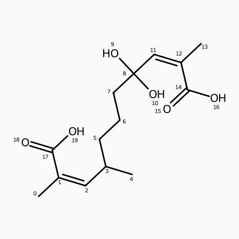 CC(=CC(C)CCCC(O)(O)C=C(C)C(=O)O)C(=O)O